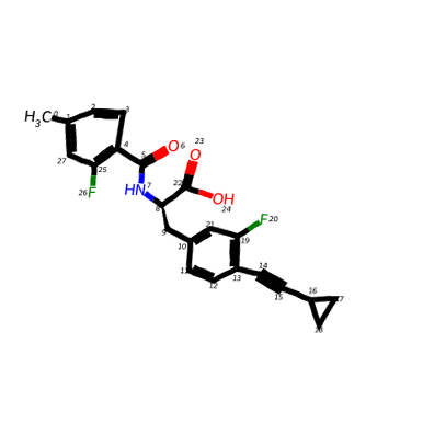 Cc1ccc(C(=O)N[C@H](Cc2ccc(C#CC3CC3)c(F)c2)C(=O)O)c(F)c1